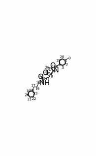 Cc1ccc(-c2nc(C[S+]([O-])CC(=O)NCCCc3ccccc3)c(C)o2)cc1